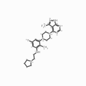 Cc1c(NCCN2CCCC2)cc(F)cc1N1CCN(c2ncnc3[nH]nc(C(F)(F)F)c23)CC1